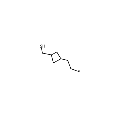 FCCC1CC(CS)C1